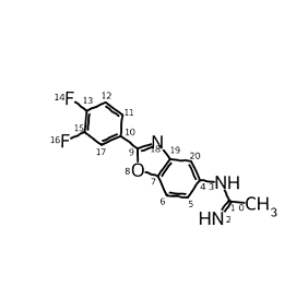 CC(=N)Nc1ccc2oc(-c3ccc(F)c(F)c3)nc2c1